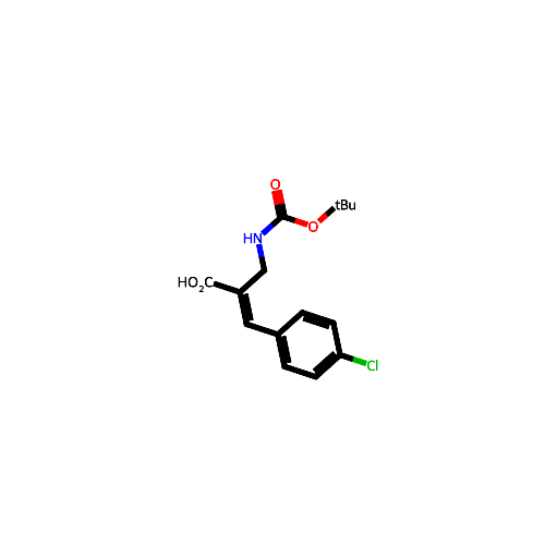 CC(C)(C)OC(=O)NCC(=Cc1ccc(Cl)cc1)C(=O)O